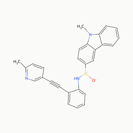 Cc1ccc(C#Cc2ccccc2N[S+]([O-])c2ccc3c(c2)c2ccccc2n3C)cn1